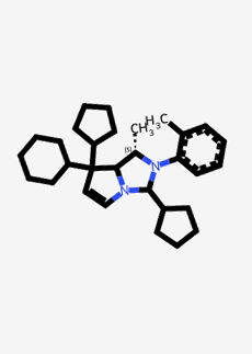 Cc1ccccc1N1C(C2CCCC2)N2C=CC(C3CCCCC3)(C3CCCC3)C2[C@@H]1C